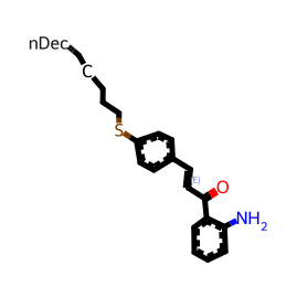 CCCCCCCCCCCCCCCSc1ccc(/C=C/C(=O)c2ccccc2N)cc1